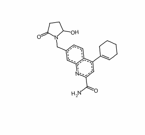 NC(=O)c1cc(C2=CCCCC2)c2ccc(CN3C(=O)CCC3O)cc2n1